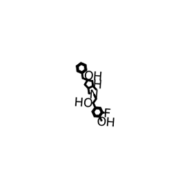 Oc1ccc([C@H](O)CN2CC3CC(O)(Cc4ccccc4)C[C@@H]3C2)cc1F